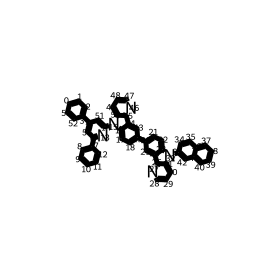 c1ccc(-c2cc(-c3ccccc3)nc(-n3c4ccc(-c5ccc6c(c5)c5ncccc5n6-c5ccc6ccccc6c5)cc4c4ncccc43)c2)cc1